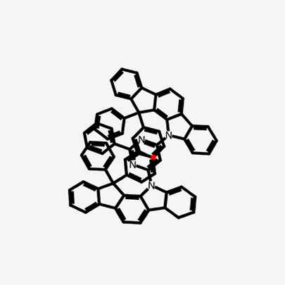 C1=CCC2C(=C1)N(c1cc(-n3c4ccccc4c4ccc5c(c43)C(c3ccccc3)(c3ccccc3)c3ccccc3-5)nc(-c3ccccc3)n1)c1c2ccc2c1C(c1ccccc1)(c1ccccc1)c1ccccc1-2